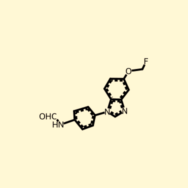 O=CNc1ccc(-n2cnc3cc(OCF)ccc32)cc1